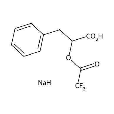 O=C(O)C(Cc1ccccc1)OC(=O)C(F)(F)F.[NaH]